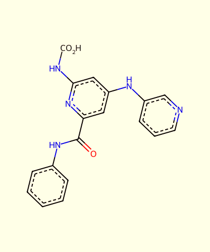 O=C(O)Nc1cc(Nc2cccnc2)cc(C(=O)Nc2ccccc2)n1